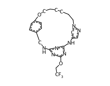 FC(F)(F)COc1nc2nc(n1)Nc1cnn(c1)CCCCCCOc1ccc(cc1)CN2